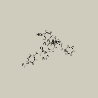 CC(C)CN(C(=O)CCc1ccc(C(F)(F)F)cc1)C1CC[C@@]2(O)[C@H]3Cc4ccc(O)c5c4[C@@]2(CCN3CCc2ccccc2)C1O5